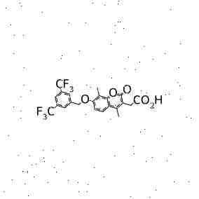 Cc1c(CC(=O)O)c(=O)oc2c(C)c(OCc3cc(C(F)(F)F)cc(C(F)(F)F)c3)ccc12